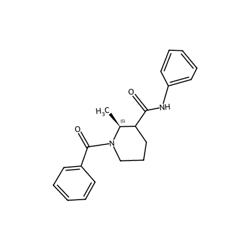 C[C@H]1C(C(=O)Nc2ccccc2)CCCN1C(=O)c1ccccc1